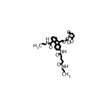 CCCNC(=O)CCCC(=O)Nc1ccc2c(c1)C(COC(=O)ON1C(=O)CCC1=O)c1cccc(C(=O)NCCC)c1-2